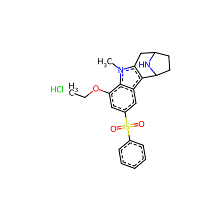 CCOc1cc(S(=O)(=O)c2ccccc2)cc2c3c(n(C)c12)CC1CCC3N1.Cl